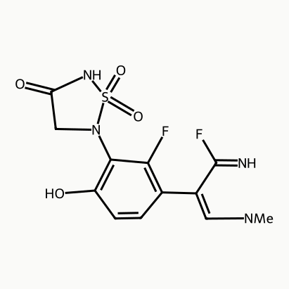 CN/C=C(\C(=N)F)c1ccc(O)c(N2CC(=O)NS2(=O)=O)c1F